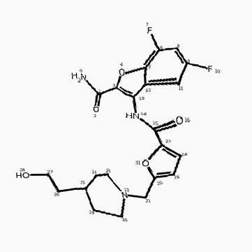 NC(=O)c1oc2c(F)cc(F)cc2c1NC(=O)c1ccc(CN2CCC(CCO)CC2)o1